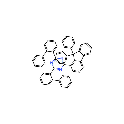 c1ccc(-c2ccccc2-c2nc(-c3ccccc3-c3ccccc3)nc(-c3cccc4c3C(c3ccccc3)(c3ccccc3)c3ccccc3-4)n2)cc1